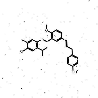 COc1ccc(/C=C/Cc2ccc(O)cc2)cc1COc1cc(C)c(Cl)cc1C(C)C